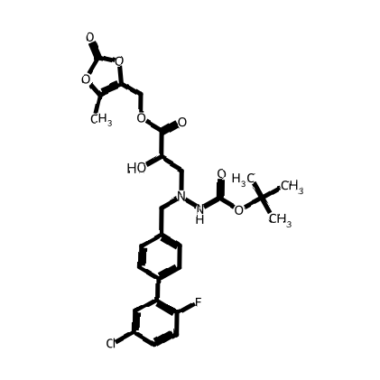 Cc1oc(=O)oc1COC(=O)C(O)CN(Cc1ccc(-c2cc(Cl)ccc2F)cc1)NC(=O)OC(C)(C)C